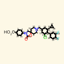 O=C(O)c1ccc(N2CC3(CCN(Cc4cc(Cl)c(-c5ccc(F)c(F)c5)c(C5CC5)c4)CC3)OC2=O)cc1